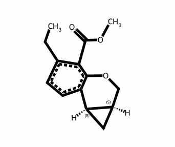 CCc1ccc2c(c1C(=O)OC)OC[C@H]1C[C@@H]21